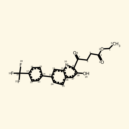 CCOC(=O)CCC(=O)c1nc2cc(-c3ccc(C(F)(F)F)cc3)ccc2cc1O